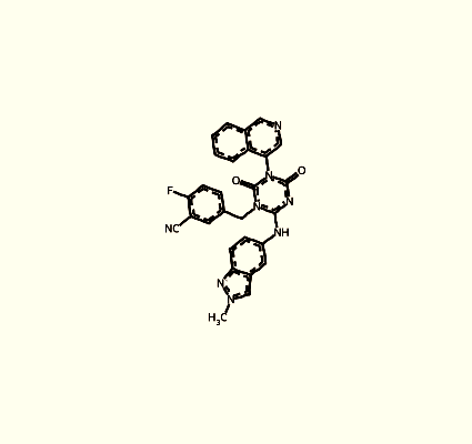 Cn1cc2cc(Nc3nc(=O)n(-c4cncc5ccccc45)c(=O)n3Cc3ccc(F)c(C#N)c3)ccc2n1